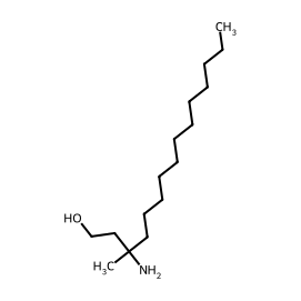 CCCCCCCCCCCCC(C)(N)CCO